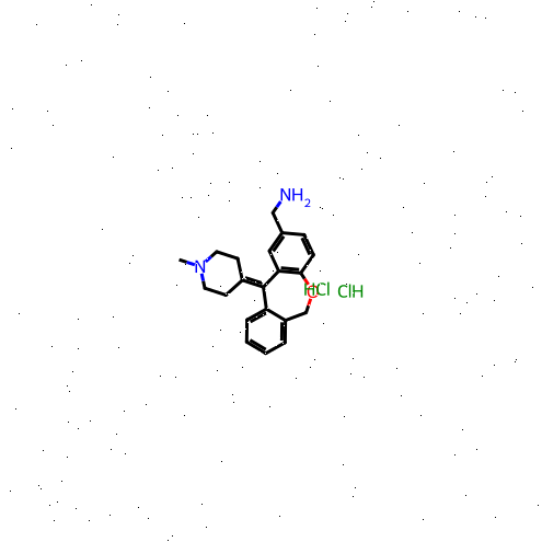 CN1CCC(=C2c3ccccc3COc3ccc(CN)cc32)CC1.Cl.Cl